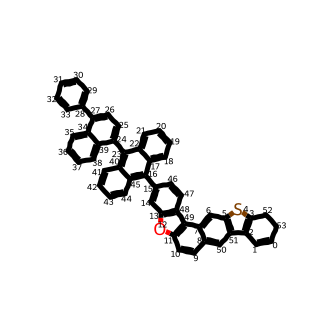 C1=Cc2c(sc3cc4c(ccc5oc6cc(-c7c8ccccc8c(-c8ccc(-c9ccccc9)c9ccccc89)c8ccccc78)ccc6c54)cc23)CC1